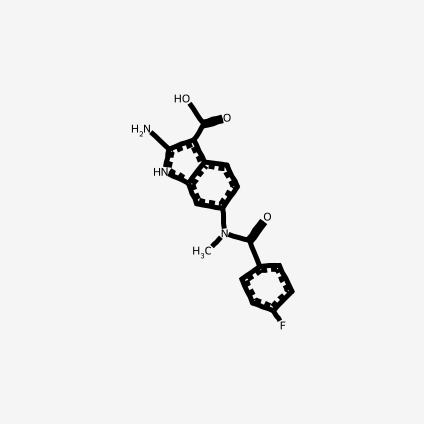 CN(C(=O)c1ccc(F)cc1)c1ccc2c(C(=O)O)c(N)[nH]c2c1